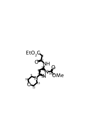 CCOC(=O)CC(=O)Nc1cc(N2CCOCC2)nn1C(=O)OC